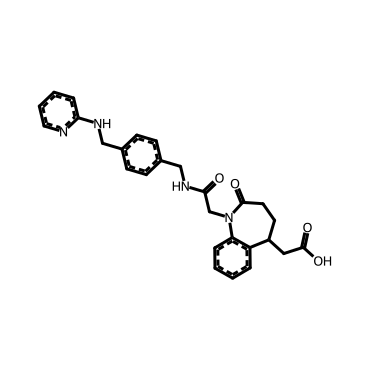 O=C(O)CC1CCC(=O)N(CC(=O)NCc2ccc(CNc3ccccn3)cc2)c2ccccc21